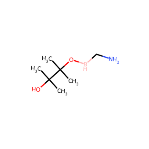 CC(C)(O)C(C)(C)OBCN